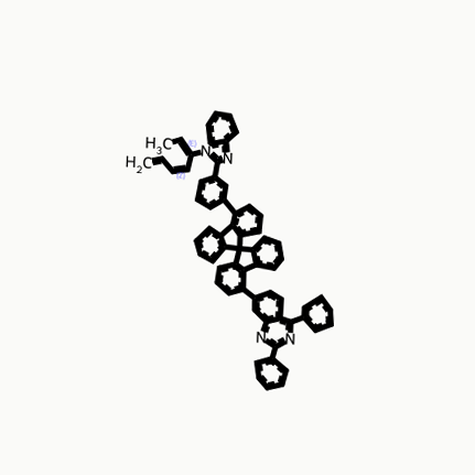 C=C/C=C\C(=C/C)n1c(-c2cccc(-c3cccc4c3-c3ccccc3C43c4ccccc4-c4c(-c5ccc6c(-c7ccccc7)nc(-c7ccccc7)nc6c5)cccc43)c2)nc2ccccc21